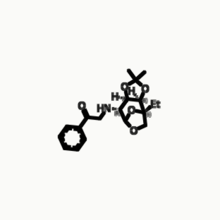 CC[C@@]12COC(O1)[C@H](NCC(=O)c1ccccc1)[C@H]1OC(C)(C)O[C@H]12